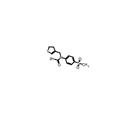 CC(C)C(=O)N(CC1=CSCC1)c1ccc(S(C)(=O)=O)cc1